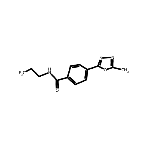 Cc1nnc(-c2ccc(C(=O)NCCC(F)(F)F)cc2)o1